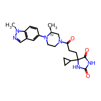 C[C@H]1CN(C(=O)CCC2(C3CC3)NC(=O)NC2=O)CCN1c1ccc2c(cnn2C)c1